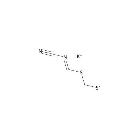 N#C/N=C/SC[S-].[K+]